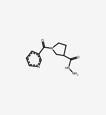 NNC(=O)C1CCN(C(=O)c2cccnc2)C1